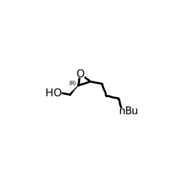 CCCCCCCC1O[C@@H]1CO